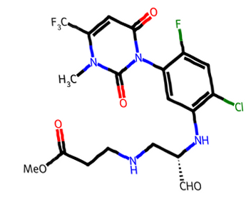 COC(=O)CCNC[C@@H](C=O)Nc1cc(-n2c(=O)cc(C(F)(F)F)n(C)c2=O)c(F)cc1Cl